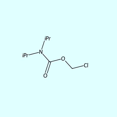 CC(C)N(C(=O)OCCl)C(C)C